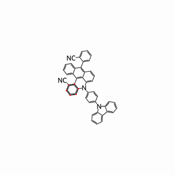 N#Cc1ccccc1-c1c2ccccc2c(-c2ccccc2C#N)c2c(N(c3ccccc3)c3ccc(-n4c5ccccc5c5ccccc54)cc3)cccc12